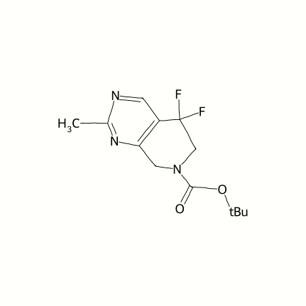 Cc1ncc2c(n1)CN(C(=O)OC(C)(C)C)CC2(F)F